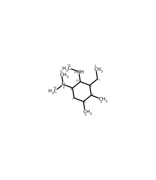 CCC1C(C)C(C)CC(N(C)C)C1NC